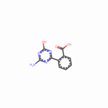 Nc1nc(O)nc(-c2ccccc2C(=O)O)n1